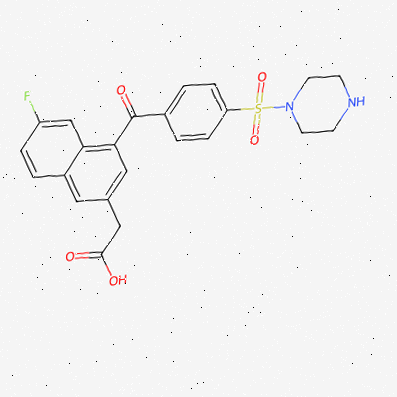 O=C(O)Cc1cc(C(=O)c2ccc(S(=O)(=O)N3CCNCC3)cc2)c2cc(F)ccc2c1